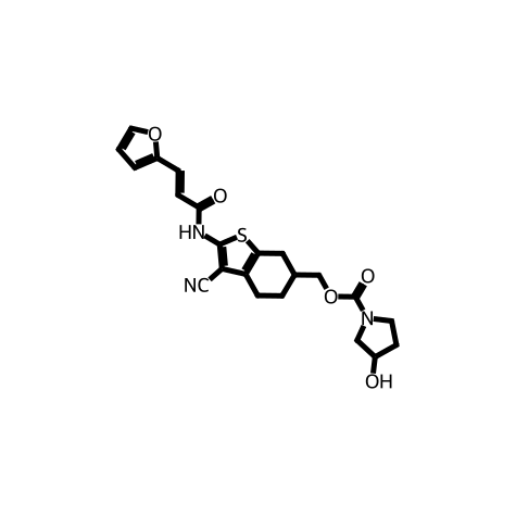 N#Cc1c(NC(=O)C=Cc2ccco2)sc2c1CCC(COC(=O)N1CCC(O)C1)C2